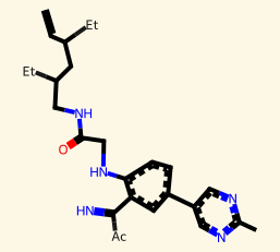 C=CC(CC)CC(CC)CNC(=O)CNc1ccc(-c2cnc(C)nc2)cc1C(=N)C(C)=O